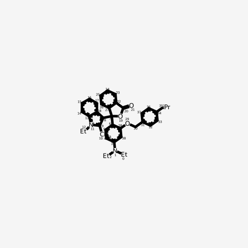 CCN(CC)c1ccc(C2(c3c(C)n(CC)c4ccccc34)OC(=O)c3ccccc32)c(OCc2ccc(C(C)C)cc2)c1